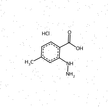 Cc1ccc(C(=O)O)c(NN)c1.Cl